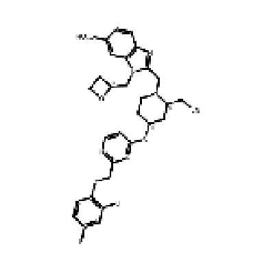 N#CC[C@H]1C[C@@H](Oc2ccnc(COc3ccc(F)cc3Cl)n2)CCN1Cc1nc2ccc(C(=O)O)cc2n1C[C@@H]1CCO1